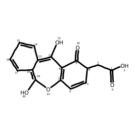 O=C(O)CC1C=CC2=C(C1=O)C(O)=c1ccccc1=C(O)O2